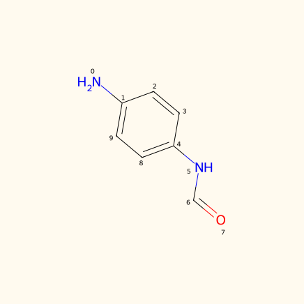 Nc1ccc(NC=O)cc1